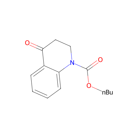 CCCCOC(=O)N1CCC(=O)c2ccccc21